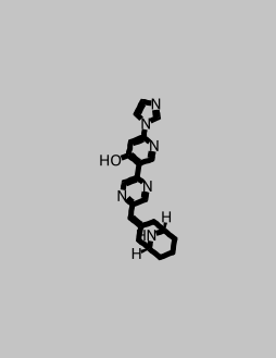 Oc1cc(-n2ccnc2)ncc1-c1cnc(/C=C2/C[C@H]3CCC[C@@H](C2)N3)cn1